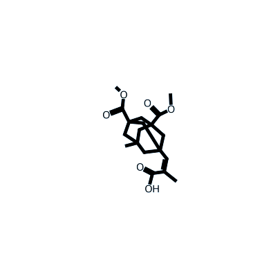 COC(=O)C12CC3(C)CC(C=C(C)C(=O)O)(C1)CC(C(=O)OC)(C3)C2